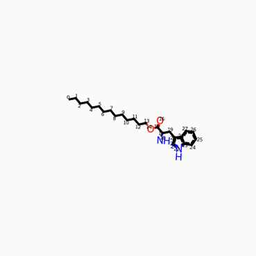 CCCCCCCCCCCCCCOC(=O)C(N)Cc1c[nH]c2ccccc12